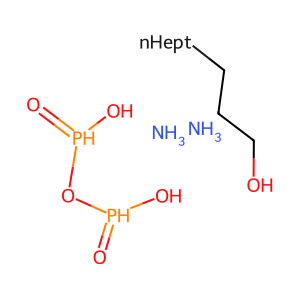 CCCCCCCCCCO.N.N.O=[PH](O)O[PH](=O)O